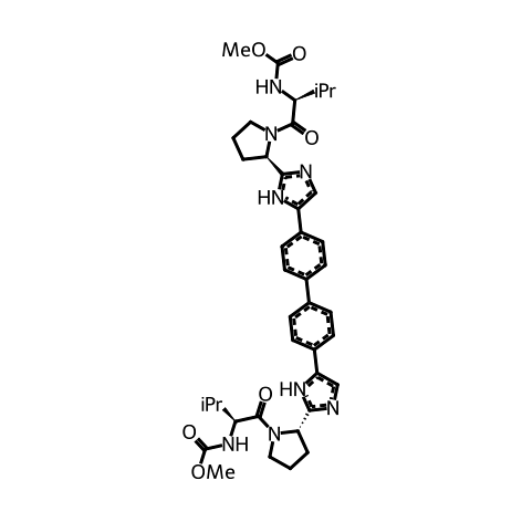 COC(=O)N[C@H](C(=O)N1CCC[C@@H]1c1ncc(-c2ccc(-c3ccc(-c4cnc([C@@H]5CCCN5C(=O)[C@@H](NC(=O)OC)C(C)C)[nH]4)cc3)cc2)[nH]1)C(C)C